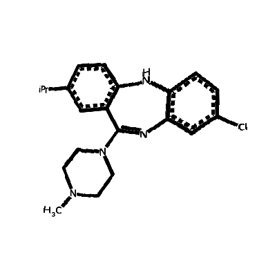 CC(C)c1ccc2c(c1)C(N1CCN(C)CC1)=Nc1cc(Cl)ccc1N2